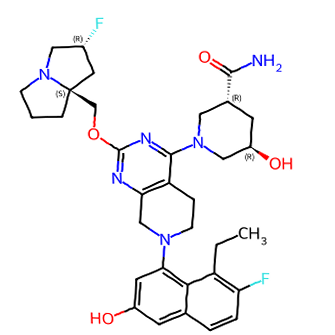 CCc1c(F)ccc2cc(O)cc(N3CCc4c(nc(OC[C@@]56CCCN5C[C@H](F)C6)nc4N4C[C@H](O)C[C@@H](C(N)=O)C4)C3)c12